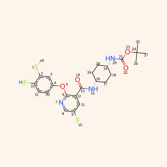 CSc1cc(Oc2ncc(F)cc2C(=O)N[C@H]2CC[C@@H](NC(=O)OC(C)(C)C)CC2)ccc1F